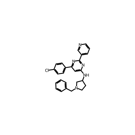 Clc1ccc(-c2cc(NC3CCN(Cc4ccccc4)C3)nc(-c3cccnc3)n2)cc1